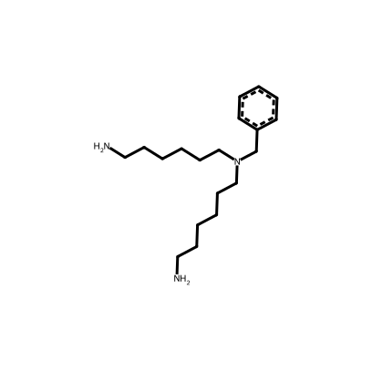 NCCCCCCN(CCCCCCN)Cc1ccccc1